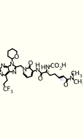 CN(C)C(=O)/C=C/CC[C@H](NC(=O)O)C(=O)Nc1cccn(Cc2nc3c(CCC(F)(F)F)ncnc3n2C2CCCCO2)c1=O